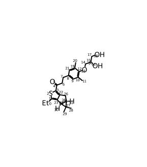 CCc1sc(C(=O)CCc2cc(C)c(OC[C@H](O)CO)c(C)c2)c2c1[C@@H]1[C@H](C2)C1(C)C